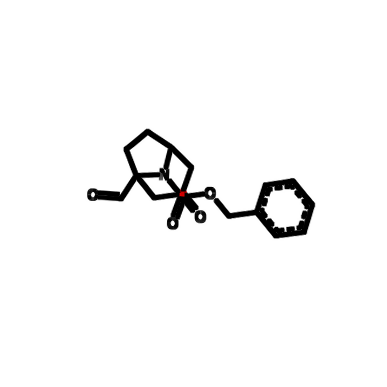 O=CC12CCC(CC(=O)C1)N2C(=O)OCc1ccccc1